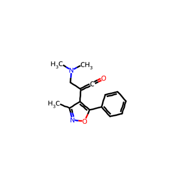 Cc1noc(-c2ccccc2)c1C(=C=O)CN(C)C